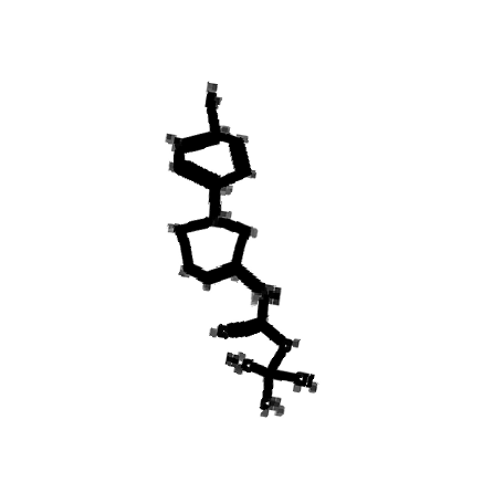 CC(C)(C)OC(=O)NC1CCCN(c2ccc(Br)nc2)C1